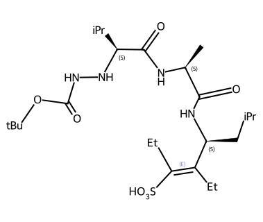 CC/C(=C(/CC)S(=O)(=O)O)[C@H](CC(C)C)NC(=O)[C@H](C)NC(=O)[C@@H](NNC(=O)OC(C)(C)C)C(C)C